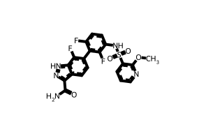 COc1ncccc1S(=O)(=O)Nc1ccc(F)c(-c2ccc3c(C(N)=O)n[nH]c3c2F)c1F